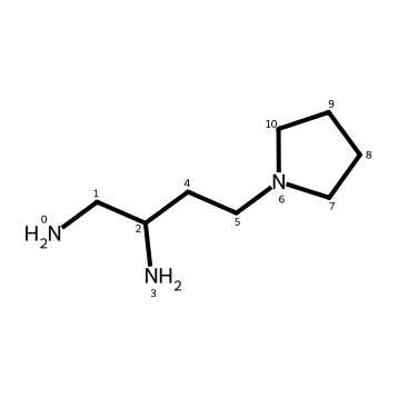 NCC(N)CCN1CCCC1